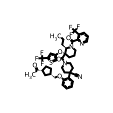 CCC[C@H]1N(C(=O)c2ncccc2C(F)(F)F)CCC[C@@]1(Oc1csc(C(F)(F)F)c1)C(=O)N1CCC(C#N)(c2ccccc2OC[C@H]2CC[C@@H](C(C)=O)C2)CC1